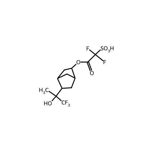 CC(O)(C1CC2CC1CC2OC(=O)C(F)(F)S(=O)(=O)O)C(F)(F)F